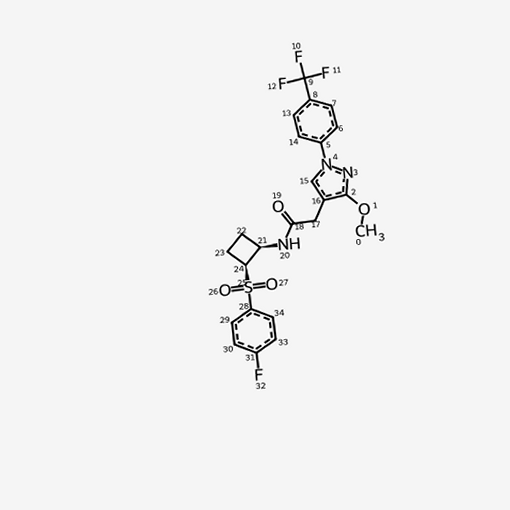 COc1nn(-c2ccc(C(F)(F)F)cc2)cc1CC(=O)N[C@@H]1CC[C@@H]1S(=O)(=O)c1ccc(F)cc1